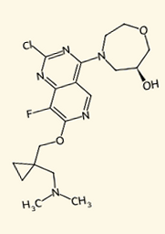 CN(C)CC1(COc2ncc3c(N4CCOC[C@@H](O)C4)nc(Cl)nc3c2F)CC1